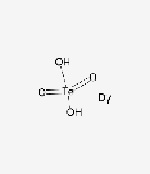 O=[Te](=O)(O)O.[Dy]